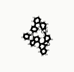 c1ccc(-c2ccc(N(c3ccccc3)c3ccc(-c4cc5ccccc5c5oc6ccc(-c7nc8ccccc8o7)cc6c45)c4ccccc34)cc2)cc1